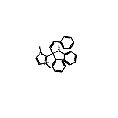 Cn1cc[n+](C)c1C(/C=[C]\c1ccccc1)(Nc1ccccc1)c1ccccc1